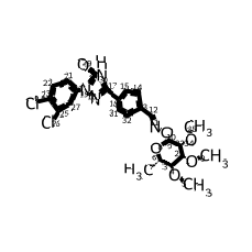 CO[C@@H]1[C@@H](OC)[C@H](C)O[C@@H](O/N=C/c2ccc(-c3nn(-c4ccc(Cl)c(Cl)c4)c(=O)[nH]3)cc2)[C@@H]1OC